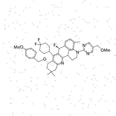 COCc1cnc(N2CCC(c3nc4c(c(C5CCC(F)(F)CC5)c3[C@@H](F)c3ccc(C)cc3)[C@@H](OCc3ccc(OC)cc3)CC(C)(C)C4)CC2)nc1